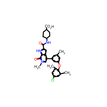 Cc1cc(Oc2c(C)cc(Cl)cc2C)cc(-c2cn(C)c(=O)c3[nH]c(C(=O)NC4CCC(C(=O)O)CC4)cc23)c1